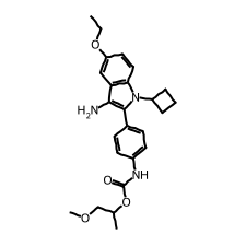 CCOc1ccc2c(c1)c(N)c(-c1ccc(NC(=O)OC(C)COC)cc1)n2C1CCC1